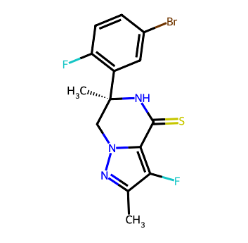 Cc1nn2c(c1F)C(=S)N[C@](C)(c1cc(Br)ccc1F)C2